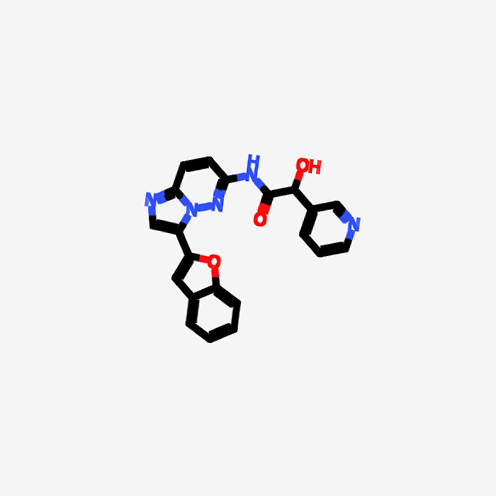 O=C(Nc1ccc2ncc(-c3cc4ccccc4o3)n2n1)C(O)c1cccnc1